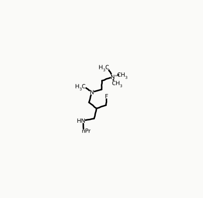 CCCNCC(CF)CN(C)CC[N+](C)(C)C